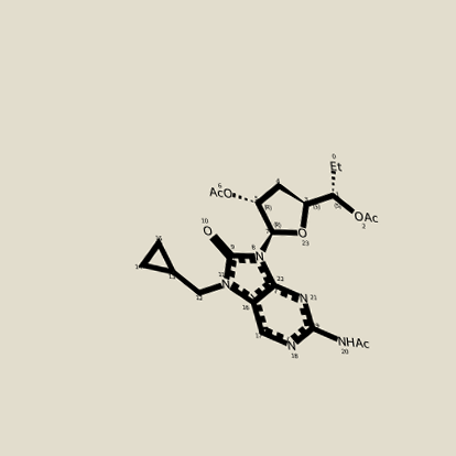 CC[C@H](OC(C)=O)[C@@H]1C[C@@H](OC(C)=O)[C@H](n2c(=O)n(CC3CC3)c3cnc(NC(C)=O)nc32)O1